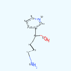 NCCCC(O)c1cccnc1